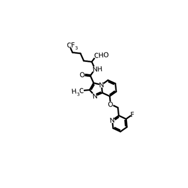 Cc1nc2c(OCc3ncccc3F)cccn2c1C(=O)NC(C=O)CCCC(F)(F)F